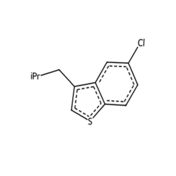 CC(C)Cc1csc2ccc(Cl)cc12